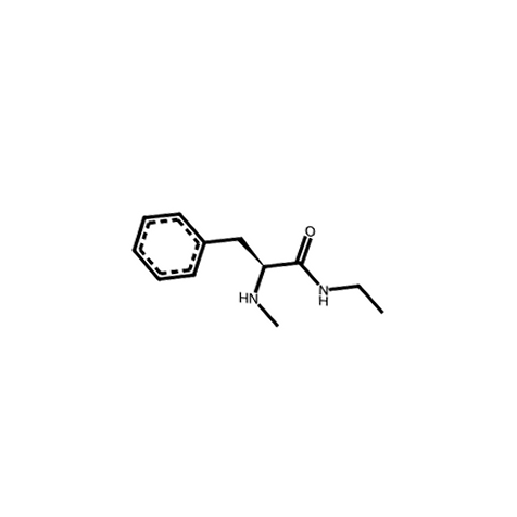 CCNC(=O)[C@H](Cc1ccccc1)NC